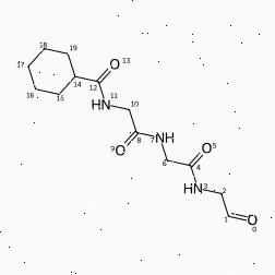 O=CCNC(=O)CNC(=O)CNC(=O)C1CCCCC1